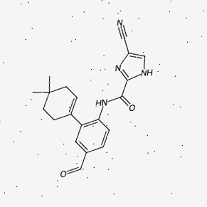 CC1(C)CC=C(c2cc([C]=O)ccc2NC(=O)c2nc(C#N)c[nH]2)CC1